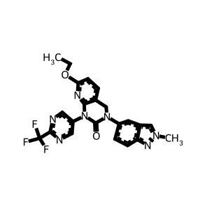 CCOc1ccc2c(n1)N(c1cnc(C(F)(F)F)nc1)C(=O)N(c1ccc3nn(C)cc3c1)C2